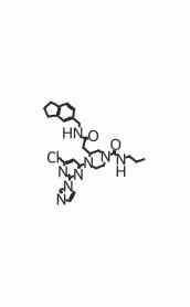 CCCNC(=O)N1CCN(c2cc(Cl)nc(-n3ccnc3)n2)C(CC(=O)NCc2ccc3c(c2)CCC3)C1